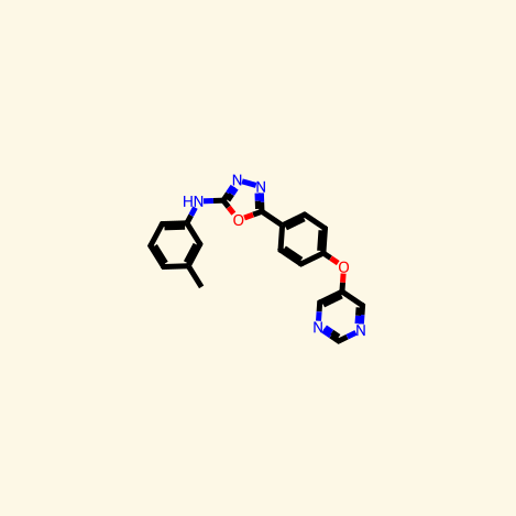 Cc1cccc(Nc2nnc(-c3ccc(Oc4cncnc4)cc3)o2)c1